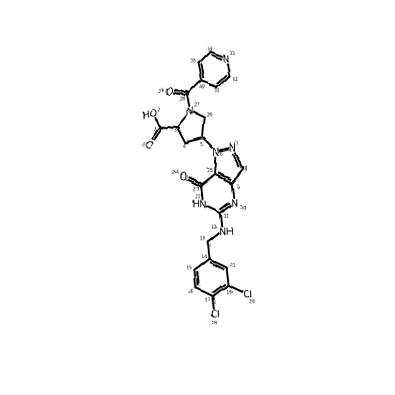 O=C(O)C1CC(n2ncc3nc(NCc4ccc(Cl)c(Cl)c4)[nH]c(=O)c32)CN1C(=O)c1ccncc1